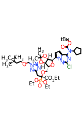 CCOC(=O)[C@@](Cc1nnn(COCC[Si](C)(C)C)n1)(OC[C@H]1O[C@H](c2ccc3c(N(C(=O)OC(C)(C)C)C4CCCC4)nc(Cl)nn23)[C@@H]2OC(C)(C)O[C@@H]21)P(=O)(OCC)OCC